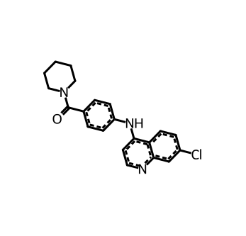 O=C(c1ccc(Nc2ccnc3cc(Cl)ccc23)cc1)N1CCCCC1